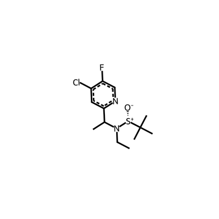 CCN(C(C)c1cc(Cl)c(F)cn1)[S@+]([O-])C(C)(C)C